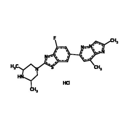 Cc1cn2nc(-c3cc(F)c4nc(N5CC(C)NC(C)C5)sc4c3)cc(C)c2n1.Cl